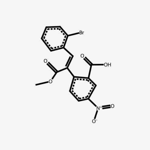 COC(=O)C(=Cc1ccccc1Br)c1ccc([N+](=O)[O-])cc1C(=O)O